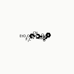 CCOC(=O)c1cc(C#N)c(N2CCC(C(=O)NS(=O)(=O)Cc3ccccc3)CC2)nc1C(F)(F)F